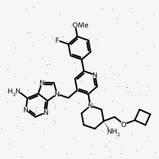 COc1ccc(-c2cc(Cn3cnc4c(N)ncnc43)c(N3CCC[C@](N)(COC4CCC4)C3)cn2)cc1F